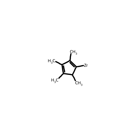 CC1=C(C)C(C)[C]([Zr])=C1C